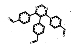 O=Cc1ccc(-c2nnnc(-c3ccc(C=O)cc3)c2-c2ccc(C=O)cc2)cc1